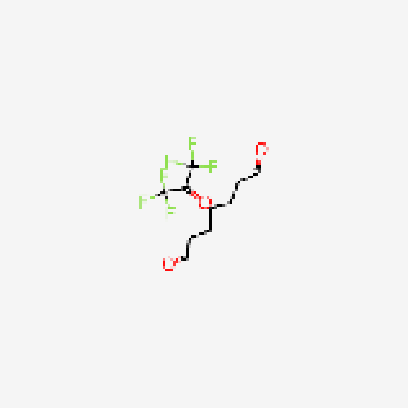 O=C(C(F)(F)F)C(F)(F)F.O=CCCCCCC=O